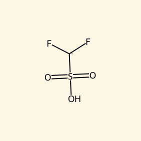 O=S(=O)(O)[C](F)F